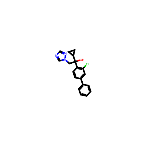 OC(Cn1cncn1)(c1ccc(-c2ccccc2)cc1Cl)C1CC1